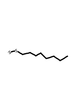 CCCCCCCCS[S]